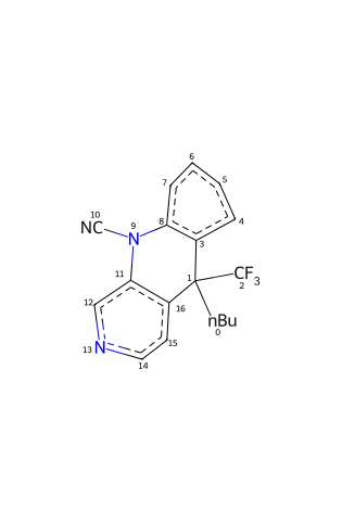 CCCCC1(C(F)(F)F)c2ccccc2N(C#N)c2cnccc21